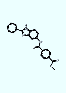 COC(=O)c1ccc(C(=O)Nc2ccc3[nH]c(-c4ccccc4)nc3c2)cc1